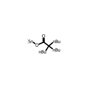 CCCCC(CCCC)(CCCC)C(=O)[O][Sn]